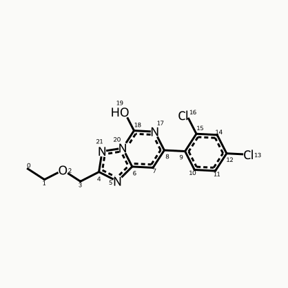 CCOCc1nc2cc(-c3ccc(Cl)cc3Cl)nc(O)n2n1